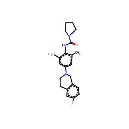 Cc1cc(N2CCc3cc(F)ccc3C2)cc(C)c1NC(=O)N1CCCC1